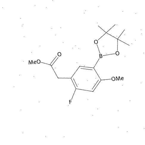 COC(=O)Cc1cc(B2OC(C)(C)C(C)(C)O2)c(OC)cc1F